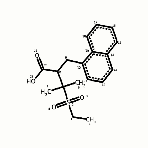 CCS(=O)(=O)C(C)(C)C(Cc1cccc2ccccc12)C(=O)O